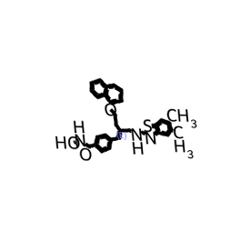 Cc1cc2nc(NC/C(=C/c3ccc(C(=O)NO)cc3)CCOc3cccc4ccccc34)sc2cc1C